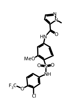 COc1cc(NC(=O)c2ccnn2C)ccc1S(=O)(=O)Nc1ccc(OC(F)(F)F)c(Cl)c1